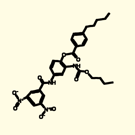 CCCCCc1ccc(C(=O)Oc2ccc(NC(=O)c3cc([N+](=O)[O-])cc([N+](=O)[O-])c3)cc2NC(=O)OCCCC)cc1